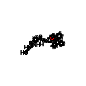 O=C(CNCCO)Nc1cccc(C(=O)NCCN2CCC(OC(=O)N(c3ccccc3-c3ccccc3)c3ccccc3-c3ccccc3)CC2)c1